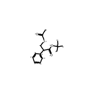 CC(=O)SCC(C(=O)OC(C)(C)C)c1ccccc1